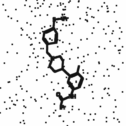 Cc1ccc(NC(=O)C(C)C)cc1C1CCN(Cc2ccc(SC(C)C)cc2)CC1